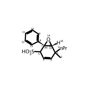 CCCC1(C)C=CC(S(=O)(=O)O)[C@]2(c3ccccc3)O[C@H]12